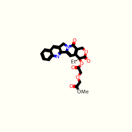 CC[C@@]1(OC(=O)COCC(=O)OC)C(=O)OCc2c1cc1n(c2=O)Cc2cc3ccccc3nc2-1